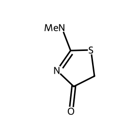 CNC1=NC(=O)CS1